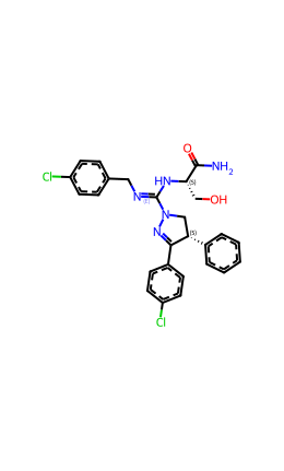 NC(=O)[C@H](CO)N/C(=N\Cc1ccc(Cl)cc1)N1C[C@H](c2ccccc2)C(c2ccc(Cl)cc2)=N1